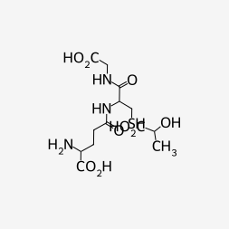 CC(O)C(=O)O.NC(CCC(=O)NC(CS)C(=O)NCC(=O)O)C(=O)O